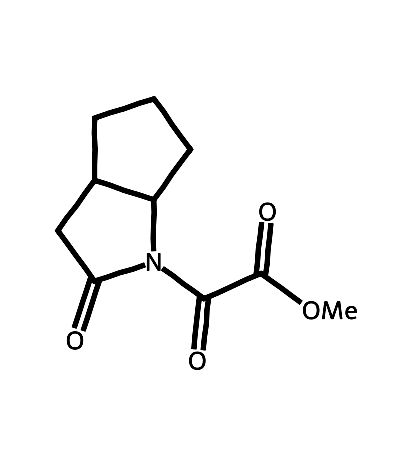 COC(=O)C(=O)N1C(=O)CC2CCCC21